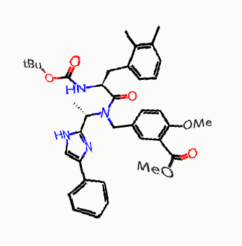 COC(=O)c1cc(CN(C(=O)[C@H](Cc2cccc(C)c2C)NC(=O)OC(C)(C)C)[C@@H](C)c2nc(-c3ccccc3)c[nH]2)ccc1OC